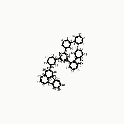 c1ccc(-c2cccc(-c3nc(-c4cccc(-c5cc6c7c(cccc7c5)-c5ccccc5-6)c4)nc(-c4cccc5oc6ccccc6c45)n3)c2)cc1